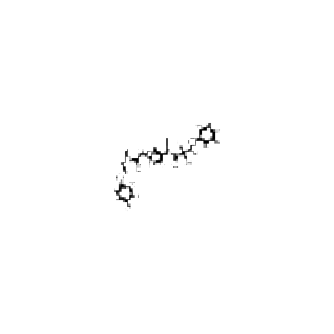 Cc1ccc(OCCN(C)C(=O)Cn2cc(NC(=O)C(C)(C)COc3ccccc3)cn2)cc1